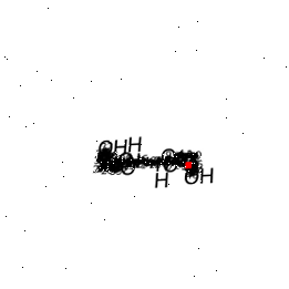 CC(Cc1ccc(OC(=O)NCCCCCCNC(=O)Oc2ccc(CC(C)c3ccc(O)cc3)cc2)cc1)c1ccc(O)cc1